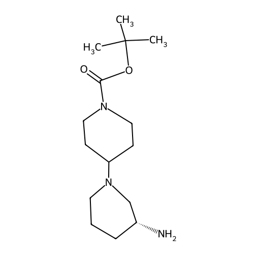 CC(C)(C)OC(=O)N1CCC(N2CCC[C@@H](N)C2)CC1